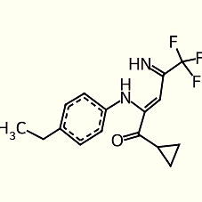 CCc1ccc(N/C(=C\C(=N)C(F)(F)F)C(=O)C2CC2)cc1